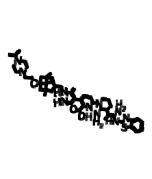 C/C(NCC12CC3(C)CC4(OCCN5CCN(C(C)C)CC5)CC(C)(C1)C34C2)=C(/C=N)c1ccc(N2CCCC(/C(C)=C(\N)Nc3nc4ccccc4s3)=C2N)nc1C(=O)O